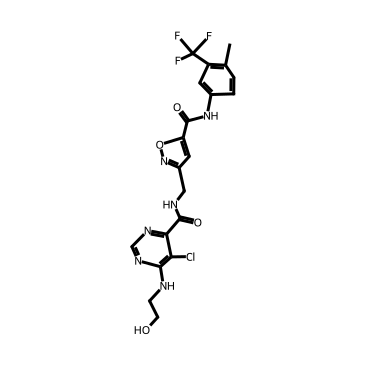 Cc1ccc(NC(=O)c2cc(CNC(=O)c3ncnc(NCCO)c3Cl)no2)cc1C(F)(F)F